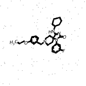 CCCOc1cccc(CN2CCC3(CC2)C(NC2CCCCC2)=NC(=O)N3c2cccc(F)c2)c1